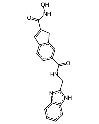 O=C(NO)C1=Cc2ccc(C(=O)NCc3nc4ccccc4[nH]3)cc2C1